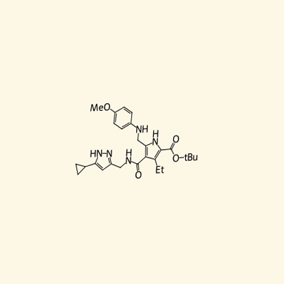 CCc1c(C(=O)OC(C)(C)C)[nH]c(CNc2ccc(OC)cc2)c1C(=O)NCc1cc(C2CC2)[nH]n1